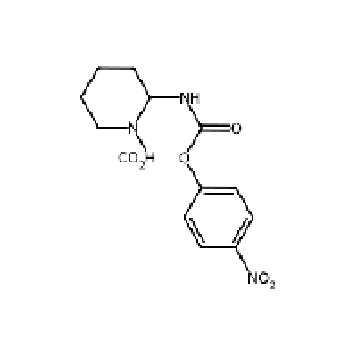 O=C(NC1CCCCN1C(=O)O)Oc1ccc([N+](=O)[O-])cc1